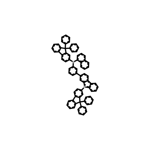 c1ccc(C2(c3ccccc3)c3ccccc3-c3ccc(N(c4cccc(-c5ccc6c7ccccc7n(-c7ccc8c(c7)C(c7ccccc7)(c7ccccc7)c7ccccc7-8)c6c5)c4)c4cccc5ccccc45)cc32)cc1